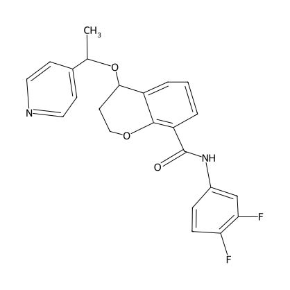 CC(OC1CCOc2c(C(=O)Nc3ccc(F)c(F)c3)cccc21)c1ccncc1